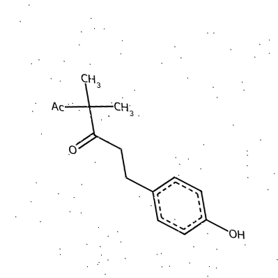 CC(=O)C(C)(C)C(=O)CCc1ccc(O)cc1